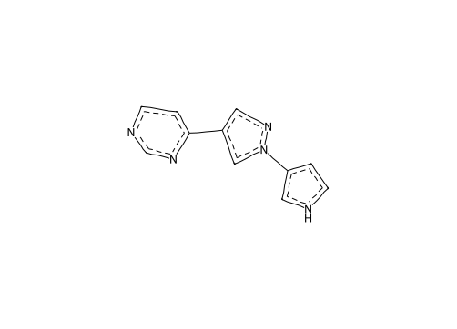 c1cc(-c2cnn(-c3cc[nH]c3)c2)ncn1